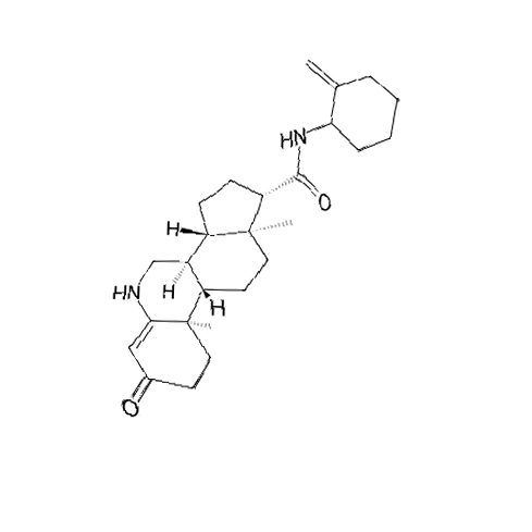 C=C1CCCCC1NC(=O)[C@H]1CC[C@H]2[C@@H]3CNC4=CC(=O)CC[C@]4(C)[C@H]3CC[C@]12C